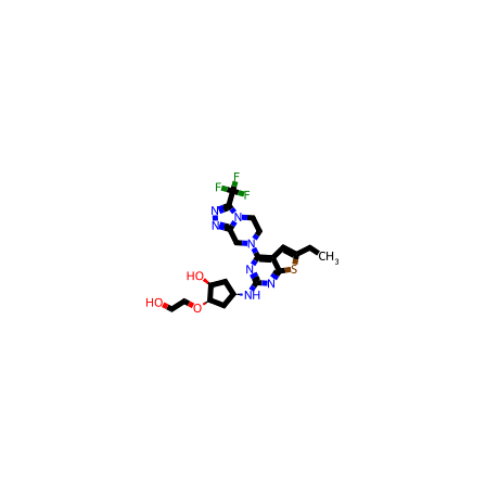 CCc1cc2c(N3CCn4c(nnc4C(F)(F)F)C3)nc(N[C@@H]3C[C@H](OCCO)[C@@H](O)C3)nc2s1